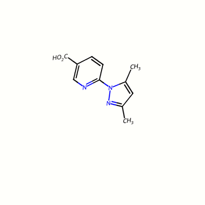 Cc1cc(C)n(-c2ccc(C(=O)O)cn2)n1